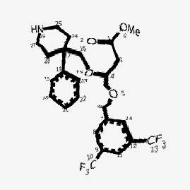 COC(=O)CC(OCc1cc(C(F)(F)F)cc(C(F)(F)F)c1)OCC1(c2ccccc2)CCNCC1